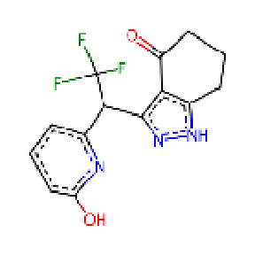 O=C1CCCc2[nH]nc(C(c3cccc(O)n3)C(F)(F)F)c21